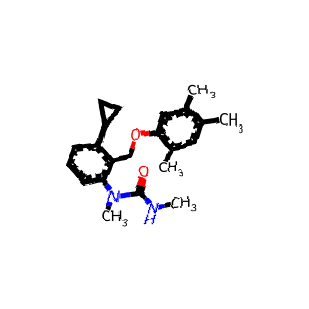 CNC(=O)N(C)c1cccc(C2CC2)c1COc1cc(C)c(C)cc1C